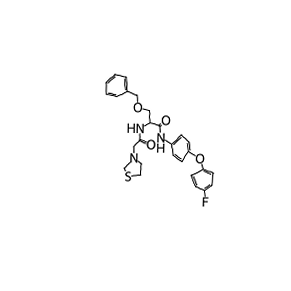 O=C(CN1CCSC1)NC(COCc1ccccc1)C(=O)Nc1ccc(Oc2ccc(F)cc2)cc1